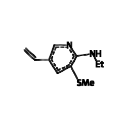 C=Cc1cnc(NCC)c(SC)c1